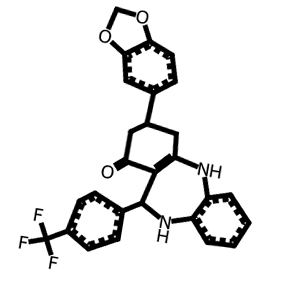 O=C1CC(c2ccc3c(c2)OCO3)CC2=C1C(c1ccc(C(F)(F)F)cc1)Nc1ccccc1N2